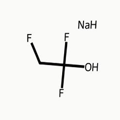 OC(F)(F)CF.[NaH]